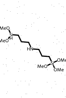 CO[SiH](CCCNCCC[Si](OC)(OC)OC)OC